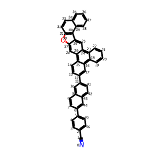 N#Cc1ccc(-c2ccc3cc(-c4ccc5c(c4)c4ccccc4c4cc6c(cc54)oc4ccc5ccccc5c46)ccc3c2)cc1